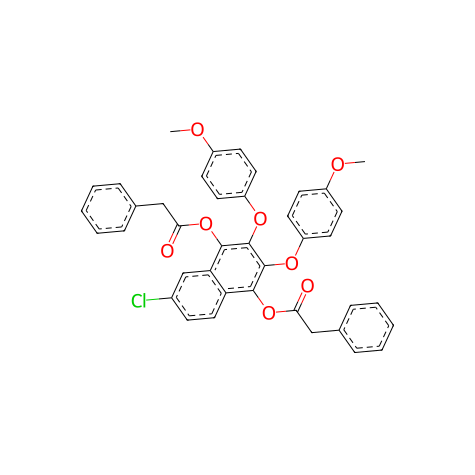 COc1ccc(Oc2c(Oc3ccc(OC)cc3)c(OC(=O)Cc3ccccc3)c3cc(Cl)ccc3c2OC(=O)Cc2ccccc2)cc1